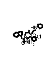 CC1CCN([C@H](Cc2cccc3ccccc23)C(N)=O)C(=O)C(c2cccc(Cl)c2)N1C(=O)CCNC1CCCCC1